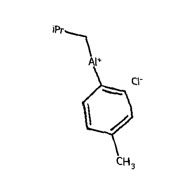 Cc1cc[c]([Al+][CH2]C(C)C)cc1.[Cl-]